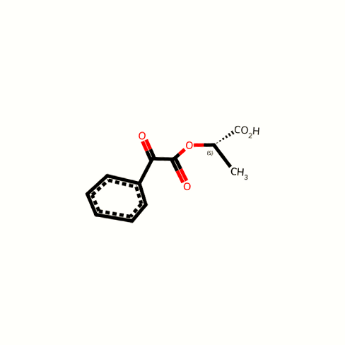 C[C@H](OC(=O)C(=O)c1ccccc1)C(=O)O